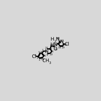 Cc1cc(Cl)cc(CN2CCCC(CC(=O)Nc3ccc(Cl)nc3N)C2)c1